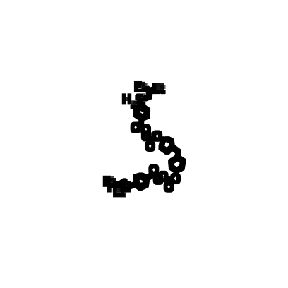 CCC(=C[SiH2]c1ccc(C(=O)OOC(=O)OC2CCC(CC3CCC(OC(=O)OOC(=O)c4ccc([SiH2]C=C(CC)CC)cc4)CC3)CC2)cc1)CC